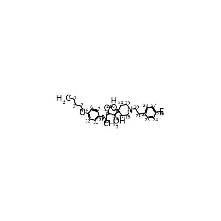 CCCCOc1ccc(N(C)C(=O)C(O)C2(O)CCN(CCc3ccc(F)cc3)CC2)cc1